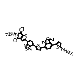 CCCCCCc1ccc(-c2ccc(-c3ccc(-c4ccc(-c5cc6c(s5)C(=O)N(CCCC)C6=O)c5nsnc45)s3)c3nsnc23)s1